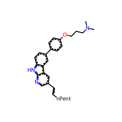 CCCCCC=Cc1cnc2[nH]c3ccc(-c4ccc(OCCCN(C)C)cc4)cc3c2c1